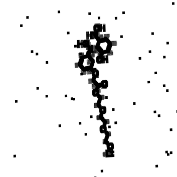 CCOCCOCCOCCOC(=O)COC1=CC=C/C(=[N+](\O)c2c(O)cccc2NO)C1